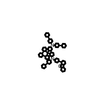 c1ccc(-c2ccc(N(c3ccc(-c4ccccc4)cc3)c3ccc(C4(c5cccc(N(c6ccc(-c7ccccc7)cc6)c6ccc(-c7cccc8c7oc7ccccc78)cc6)c5)c5ccccc5-c5ccccc5-c5ccccc54)cc3)cc2)cc1